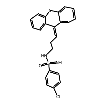 N=S(=O)(NCCC=C1c2ccccc2Sc2ccccc21)c1ccc(Cl)cc1